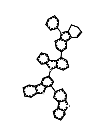 C1=Cc2c(n(-c3ccccc3)c3ccc(-c4cccc5c4c4ccccc4n5-c4cc(-c5ccc6oc7ccccc7c6c5)c5sc6ccccc6c5c4)cc23)CC1